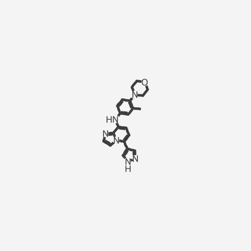 Cc1cc(Nc2ccc(-c3cn[nH]c3)n3ccnc23)ccc1N1CCOCC1